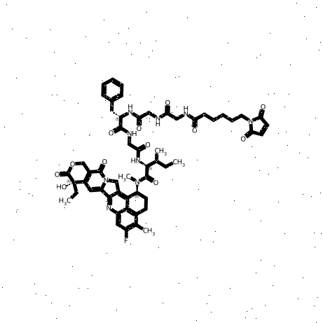 CCC(C)[C@H](NC(=O)CNC(=O)[C@H](Cc1ccccc1)NC(=O)CNC(=O)CNC(=O)CCCCCN1C(=O)C=CC1=O)C(=O)N(C)[C@H]1CCc2c(C)c(F)cc3nc4c(c1c23)Cn1c-4cc2c(c1=O)COC(=O)[C@]2(O)CC